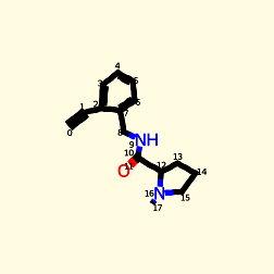 C#Cc1ccccc1CNC(=O)C1CCCN1C